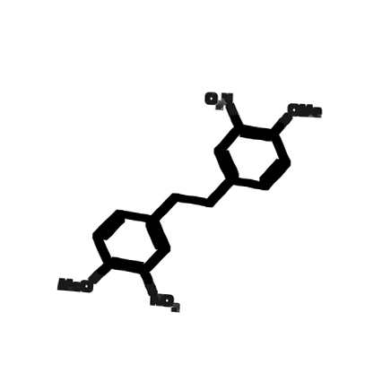 COc1ccc(CCc2ccc(OC)c([N+](=O)[O-])c2)cc1[N+](=O)[O-]